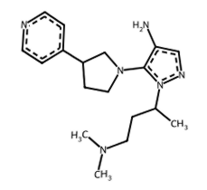 CC(CCN(C)C)n1ncc(N)c1N1CCC(c2ccncc2)C1